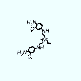 C=CC[N+](C)(CCNc1ccc(N)c(OC)c1)CCNc1ccc(N)c(OC)c1